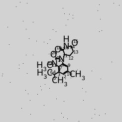 Cc1cc(C(C)C)c2c(c1)n(C1CCC(=O)NC1=O)c(=O)n2C